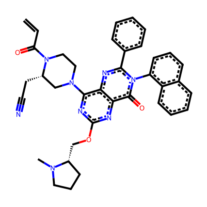 C=CC(=O)N1CCN(c2nc(OC[C@@H]3CCCN3C)nc3c(=O)n(-c4cccc5ccccc45)c(-c4ccccc4)nc23)C[C@@H]1CC#N